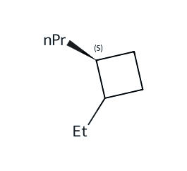 CCC[C@H]1CCC1CC